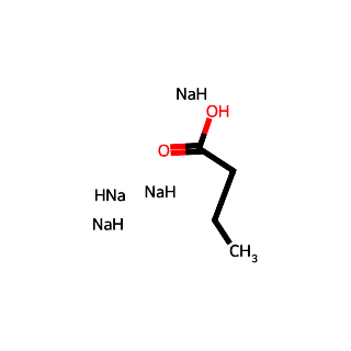 CCCC(=O)O.[NaH].[NaH].[NaH].[NaH]